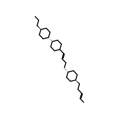 C/C=C/CC[C@H]1CC[C@H](CC/C=C/C2CCC([C@H]3CC[C@H](CCC)CC3)CC2)CC1